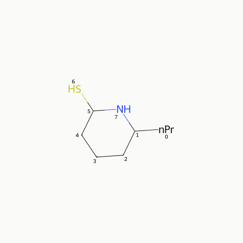 CCCC1CCCC(S)N1